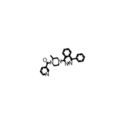 CC1CN(c2nnc(-c3ccccc3)c3ccccc23)CCN1C(=O)c1cccnc1